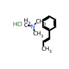 CC=Cc1ccccc1.CN(C)C.Cl